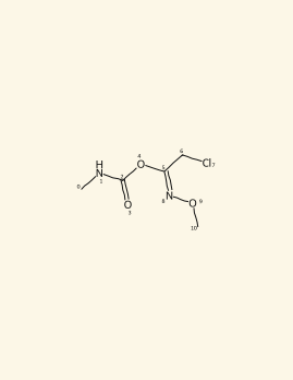 CNC(=O)OC(CCl)=NOC